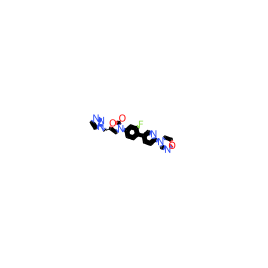 O=C1O[C@@H](Cn2ccnn2)CN1c1ccc(-c2ccc(N3C=NOCC3)nc2)c(F)c1